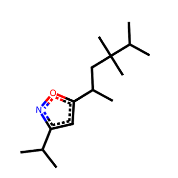 CC(C)c1cc(C(C)CC(C)(C)C(C)C)on1